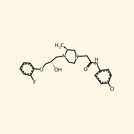 C[C@H]1CN(CC(=O)Nc2ccc(Cl)cc2)CCN1C[C@H](O)COc1ccccc1F